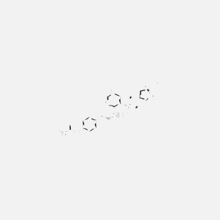 CCCCn1cc(S(=O)(=O)N(C)c2cncnc2N[C@@H](Cc2ccc(OC(=O)N(C)C)cc2)C(=O)O)cn1